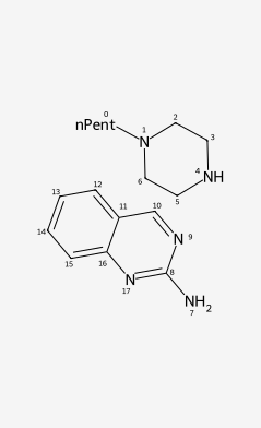 CCCCCN1CCNCC1.Nc1ncc2ccccc2n1